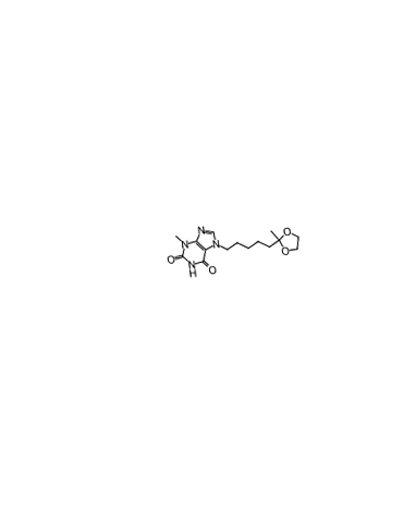 Cn1c(=O)[nH]c(=O)c2c1ncn2CCCCCC1(C)OCCO1